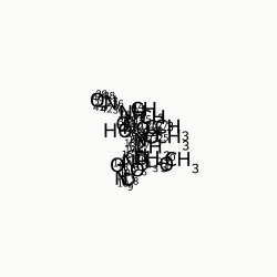 COCCCCOc1cccnc1C(=O)NCC(CC(NC(=O)OC(C)(C)C)C(O)CC(C(=O)NCCN1CCOCC1)C(C)C)C(C)C